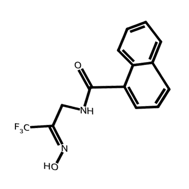 O=C(NCC(=NO)C(F)(F)F)c1cccc2ccccc12